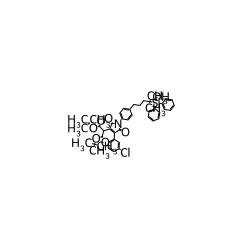 CC(C)(C)OC(=O)C(C(=O)OC(C)(C)C)C1=C(c2cccc(Cl)c2)C(=O)N(c2ccc(CCCC(C)(C)[Si](O)(c3ccccc3)c3ccccc3)cc2)C1=O